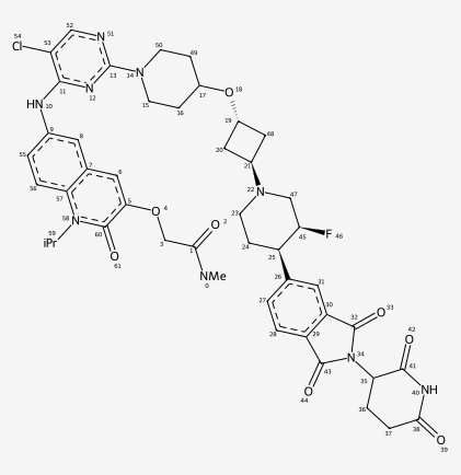 CNC(=O)COc1cc2cc(Nc3nc(N4CCC(O[C@H]5C[C@H](N6CC[C@H](c7ccc8c(c7)C(=O)N(C7CCC(=O)NC7=O)C8=O)[C@H](F)C6)C5)CC4)ncc3Cl)ccc2n(C(C)C)c1=O